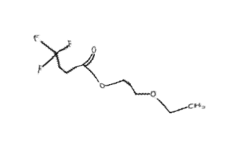 CCOCCOC(=O)CC(F)(F)F